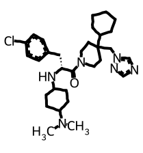 CN(C)C1CCC(N[C@H](Cc2ccc(Cl)cc2)C(=O)N2CCC(Cn3cncn3)(C3CCCCC3)CC2)CC1